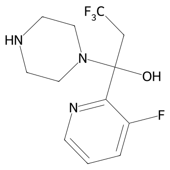 OC(CC(F)(F)F)(c1ncccc1F)N1CCNCC1